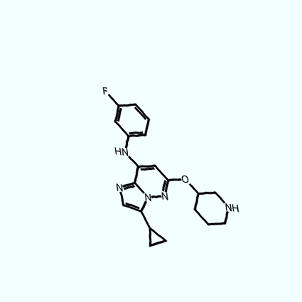 Fc1cccc(Nc2cc(OC3CCCNC3)nn3c(C4CC4)cnc23)c1